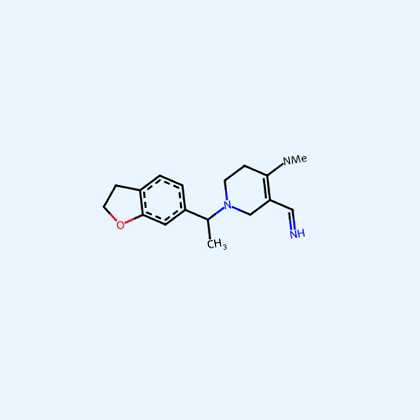 CNC1=C(C=N)CN(C(C)c2ccc3c(c2)OCC3)CC1